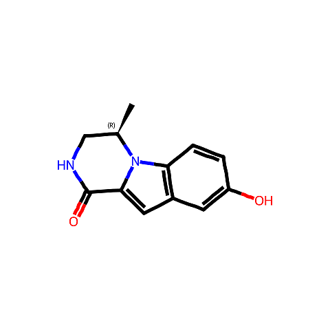 C[C@@H]1CNC(=O)c2cc3cc(O)ccc3n21